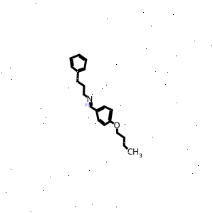 CCCCOc1ccc(/C=N/CCCc2ccccc2)cc1